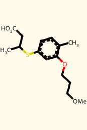 COCCCOc1cc(SC(C)CC(=O)O)ccc1C